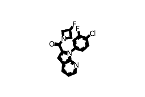 O=C(c1cc2cccnc2n1-c1ccc(Cl)c(F)c1)N1CC(F)C1